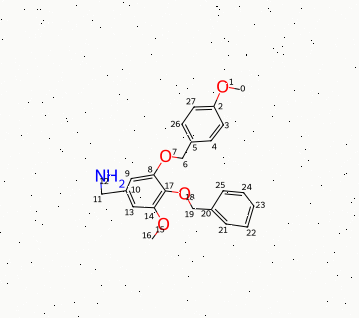 COc1ccc(COc2cc(CN)cc(OC)c2OCc2ccccc2)cc1